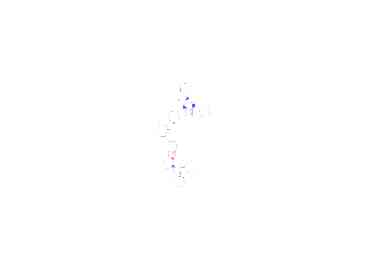 c1ccc(-c2nc(-c3ccccc3)nc(-c3ccc4c(c3)sc3c(-c5ccc6oc7c(-n8c9ccccc9c9ccccc98)cccc7c6c5)cccc34)n2)cc1